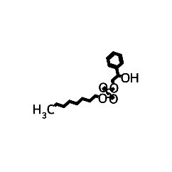 CCCCCCCCOS(=O)(=O)OCC(O)c1ccccc1